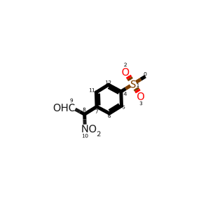 CS(=O)(=O)c1ccc(C(C=O)[N+](=O)[O-])cc1